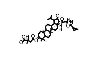 CC(C)C1=C2C3CCC4[C@@]5(C)CC[C@H](OC(=O)CC(C)(C)C(=O)O)C(C)(C)C5CC[C@@]4(C)[C@]3(C)CC[C@@]2(NC(=O)c2nnc(C3CC3)o2)CC1=O